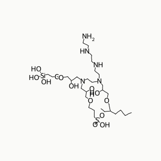 CCCCC(CC)COCC(O)CN(CCNCCNCCN)CCN(CC(O)COCCC[Si](O)(O)O)CC(O)COCCCS(=O)(=O)O